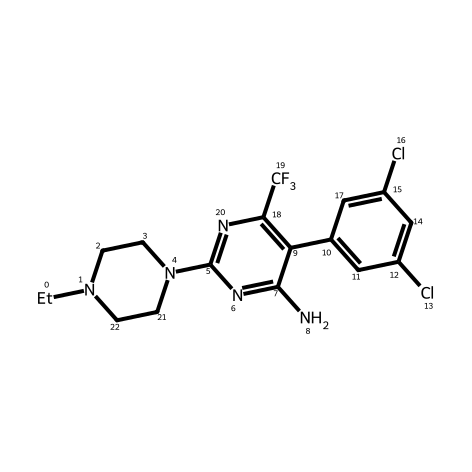 CCN1CCN(c2nc(N)c(-c3cc(Cl)cc(Cl)c3)c(C(F)(F)F)n2)CC1